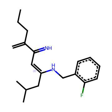 C=C(CCC)C(=N)/C=C(/CC(C)C)NCc1ccccc1F